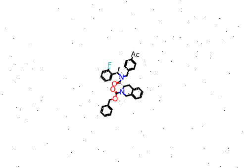 CC(=O)c1ccc(CN(C(=O)[C@@H]2Cc3ccccc3CN2C(=O)OCc2ccccc2)[C@H](C)c2ccccc2F)cc1